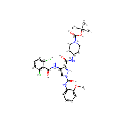 COc1ccccc1NC(=O)n1cc(NC(=O)c2c(Cl)cccc2Cl)c(C(=O)NC2CCN(C(=O)OC(C)(C)C)CC2)n1